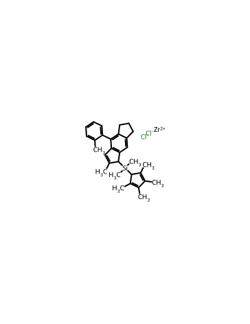 CC1=Cc2c(cc3c(c2-c2ccccc2C)CCC3)C1[Si](C)(C)C1C(C)=C(C)C(C)=C1C.[Cl-].[Cl-].[Zr+2]